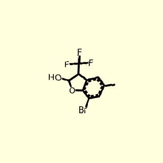 Cc1cc(Br)c2c(c1)C(C(F)(F)F)C(O)O2